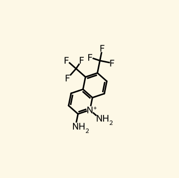 Nc1ccc2c(C(F)(F)F)c(C(F)(F)F)ccc2[n+]1N